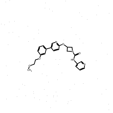 COCCOc1cccc(-c2ccc(OC3CN(C(=O)Nc4cccnc4)C3)nc2)c1